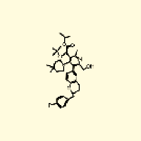 Cc1nc(CO)c(-c2ccc3c(c2)CC[C@@H](Cc2ccc(F)cc2)O3)c(N2CCC(C)(C)CC2)c1C(OC(C)(C)C)C(=O)OC(C)C